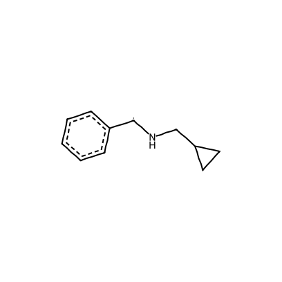 [CH](NCC1CC1)c1ccccc1